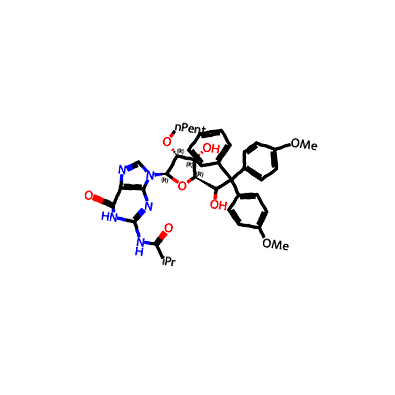 CCCCCO[C@@H]1[C@H](O)[C@@H](C(O)C(c2ccccc2)(c2ccc(OC)cc2)c2ccc(OC)cc2)O[C@H]1n1cnc2c(=O)[nH]c(NC(=O)C(C)C)nc21